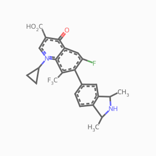 CC1NC(C)c2cc(-c3c(F)cc4c(=O)c(C(=O)O)cn(C5CC5)c4c3C(F)(F)F)ccc21